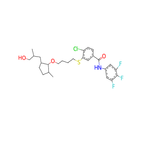 CC(CO)CC1CCC(C)C1OCCCCSc1cc(C(=O)Nc2cc(F)c(F)c(F)c2)ccc1Cl